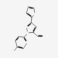 O=Cc1cc(-c2ccco2)nn1-c1ccc(Br)cn1